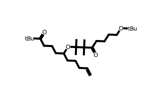 C=CCCCC(CCCC(=O)C(C)(C)C)OC(C)(C)C(C)(C)C(=O)CCCCOC(C)(C)C